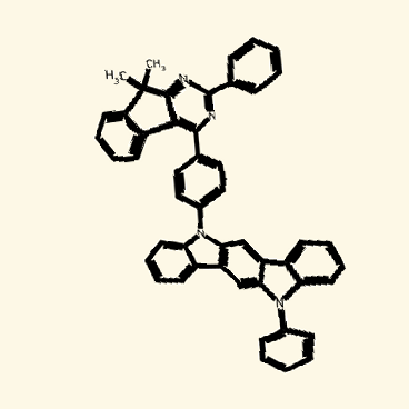 CC1(C)c2ccccc2-c2c(-c3ccc(-n4c5ccccc5c5cc6c(cc54)c4ccccc4n6-c4ccccc4)cc3)nc(-c3ccccc3)nc21